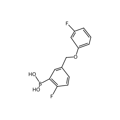 OB(O)c1cc(COc2cccc(F)c2)ccc1F